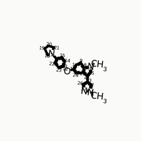 Cn1cc(-c2cn(C)c3ccc(Oc4ccc(N5CCCC5)cc4)cc23)cn1